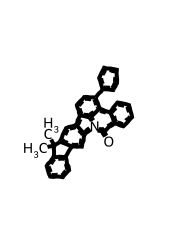 CC1(C)c2ccccc2-c2cc3c(cc21)c1ccc(-c2ccccc2)c2c4ccccc4c(=O)n3c12